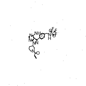 C=CC(=O)N1CCC[C@@H](n2nc(-c3ccc(CNS(=O)(=O)C(F)(F)F)cc3)c3c(N)ncnc32)C1